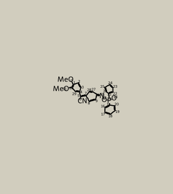 COc1ccc(C(C#N)=C2C=CC(=NOP(=O)(c3ccccc3)c3ccccc3)C=C2)cc1OC